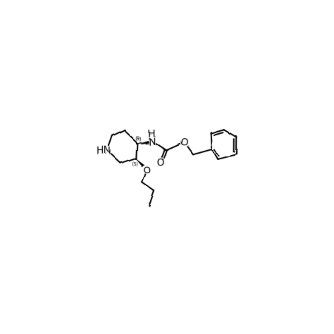 CCCO[C@H]1CNCC[C@H]1NC(=O)OCc1ccccc1